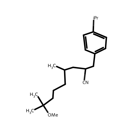 COC(C)(C)CCCC(C)CC(C#N)Cc1ccc(C(C)C)cc1